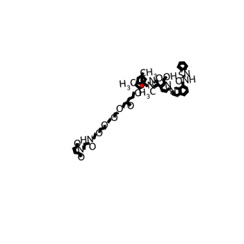 Cc1c(-c2ccc(N3CCc4cccc(C(=O)Nc5nc6ccccc6s5)c4C3)nc2C(=O)O)cnn1CC12CC3(C)CC(C)(C1)CC(OCCCC(=O)CCOCCOCCOCCOCCNC(=O)CCN1C(=O)C=CC1=O)(C3)C2